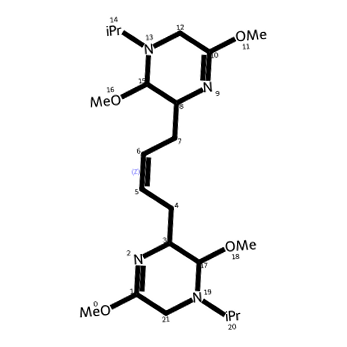 COC1=NC(C/C=C\CC2N=C(OC)CN(C(C)C)C2OC)C(OC)N(C(C)C)C1